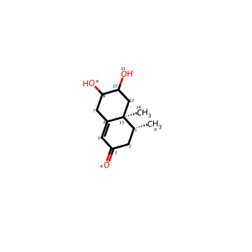 C[C@@H]1CC(=O)C=C2CC(O)C(O)C[C@]21C